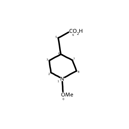 CON1CC[C](CC(=O)O)CC1